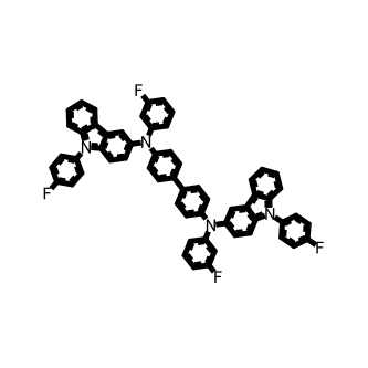 Fc1ccc(-n2c3ccccc3c3cc(N(c4ccc(-c5ccc(N(c6cccc(F)c6)c6ccc7c(c6)c6ccccc6n7-c6ccc(F)cc6)cc5)cc4)c4cccc(F)c4)ccc32)cc1